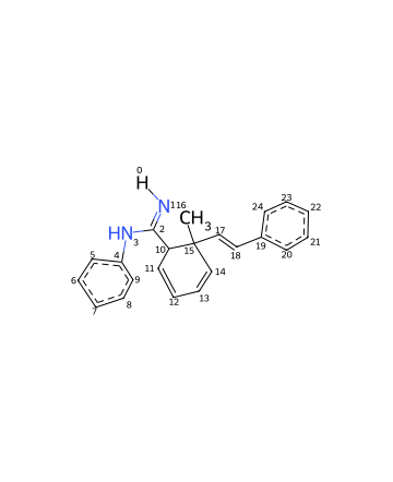 [H]/N=C(\Nc1ccccc1)C1C=CC=CC1(C)/C=C/c1ccccc1